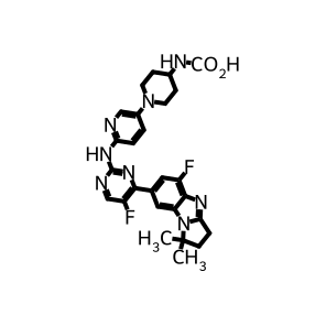 CC1(C)CCc2nc3c(F)cc(-c4nc(Nc5ccc(N6CCC(NC(=O)O)CC6)cn5)ncc4F)cc3n21